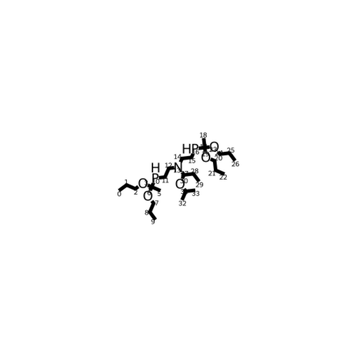 CCCOC(C)(OCCC)PCCN(CCPC(C)(OCCC)OCCC)C(CC)OC(C)C